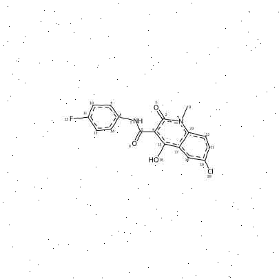 Cn1c(=O)c(C(=O)Nc2ccc(F)cc2)c(O)c2cc(Cl)ccc21